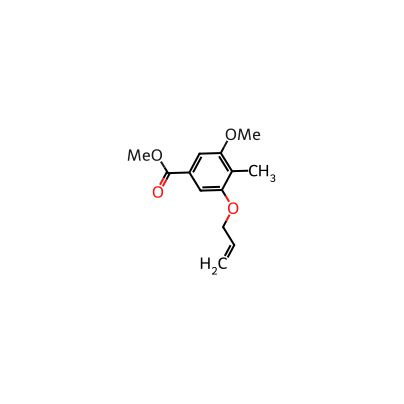 C=CCOc1cc(C(=O)OC)cc(OC)c1C